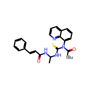 CC(NC(=O)/C=C/c1ccccc1)NC(=S)N(C(=O)C(C)(C)C)c1cccc2cccnc12